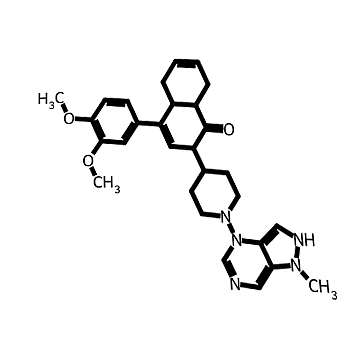 COc1ccc(C2=CC(C3CCN(N4C=NC=C5C4=CNN5C)CC3)C(=O)C3CC=CCC23)cc1OC